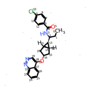 CCC(NC(=O)c1ccc(Cl)cc1)[C@H]1[C@@H]2C[C@@H](Oc3cnnc4ccccc34)C[C@@H]21